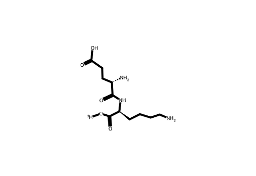 [2H]OC(=O)[C@H](CCCCN)NC(=O)[C@@H](N)CCC(=O)O